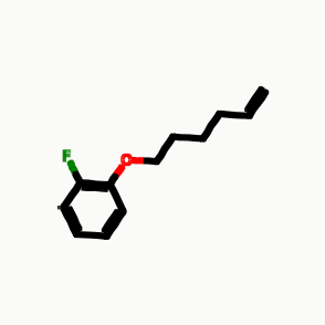 C=CCCCCOc1ccc[c]c1F